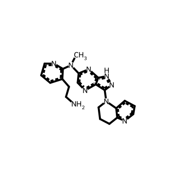 CN(c1cnc2c(N3CCCc4ncccc43)n[nH]c2n1)c1ncccc1CCN